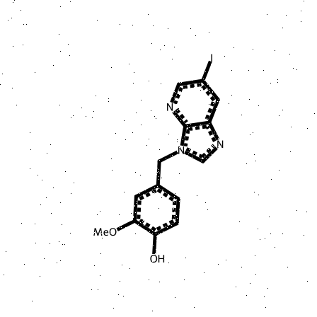 COc1cc(Cn2cnc3cc(I)cnc32)ccc1O